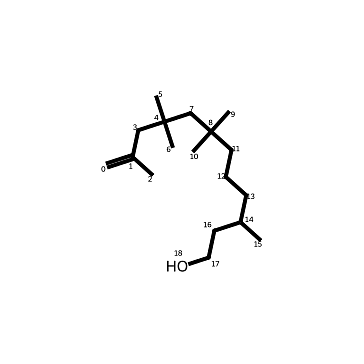 C=C(C)CC(C)(C)CC(C)(C)CCCC(C)CCO